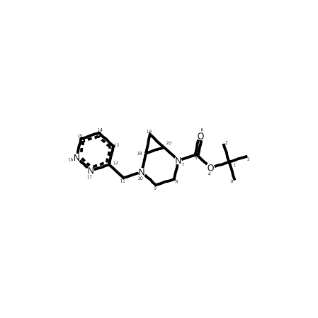 CC(C)(C)OC(=O)N1CCN(Cc2cccnn2)C2CC21